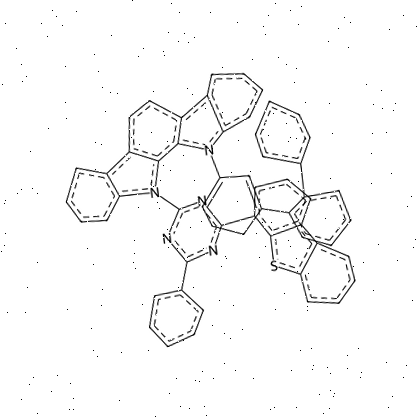 C1=C(c2ccccc2-c2ccccc2)CCC=C1n1c2ccccc2c2ccc3c4ccccc4n(-c4nc(-c5ccccc5)nc(-c5cccc6c5sc5ccccc56)n4)c3c21